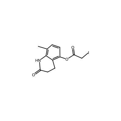 Cc1ccc(OC(=O)CI)c2c1NC(=O)CC2